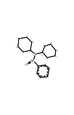 O=[PH](c1ccccc1)N(C1CCCCC1)C1CCCCC1